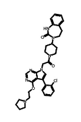 O=C(Cn1cc(-c2ccccc2Cl)c2c(OCCN3CCCC3)ncnc21)N1CCC(N2CCc3ccccc3NC2=O)CC1